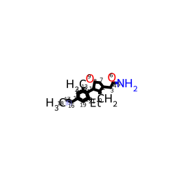 C=C1C(CC(N)=O)CC(=O)C1c1c(C)cc(/C=C/C)cc1CC